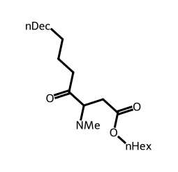 CCCCCCCCCCCCCC(=O)C(CC(=O)OCCCCCC)NC